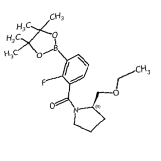 CCOC[C@H]1CCCN1C(=O)c1cccc(B2OC(C)(C)C(C)(C)O2)c1F